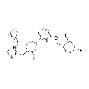 Fc1ccc(COc2cccc(-c3ccc(Cc4nccn4C[C@@H]4CCO4)c(F)c3)n2)c(F)c1